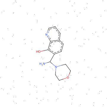 NC(c1ccc2cccnc2c1O)N1CCOCC1